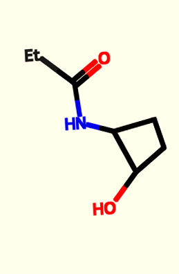 CCC(=O)NC1CCC1O